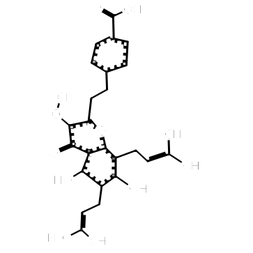 COc1c(CCc2ccc(C(=O)O)cc2)oc2c(CC=C(C)C)c(O)c(CC=C(C)C)c(O)c2c1=O